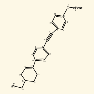 CCCCCOc1ccc(C#Cc2ccc(C3=CCC(CC(C)C)CC3)cc2)cc1